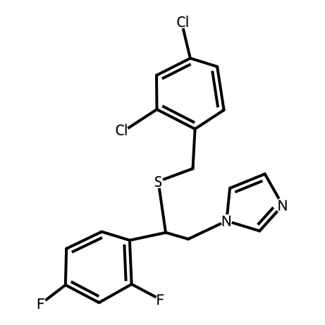 Fc1ccc(C(Cn2ccnc2)SCc2ccc(Cl)cc2Cl)c(F)c1